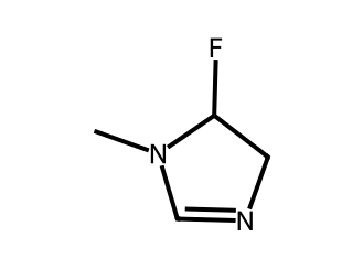 CN1C=NCC1F